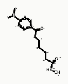 CN(C)c1ccc(C(=O)CCCCCC(=O)NO)cc1